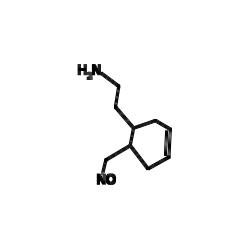 NCCC1CC=CCC1CN=O